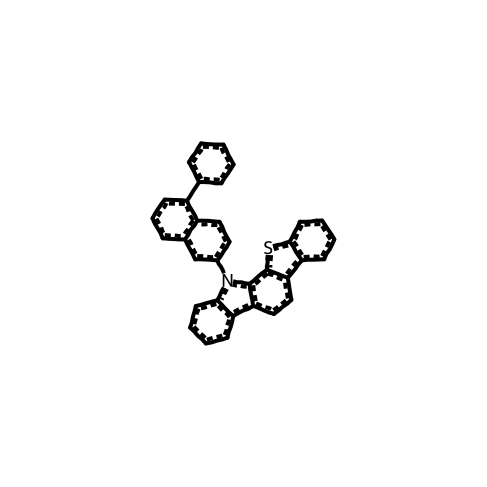 c1ccc(-c2cccc3cc(-n4c5ccccc5c5ccc6c7ccccc7sc6c54)ccc23)cc1